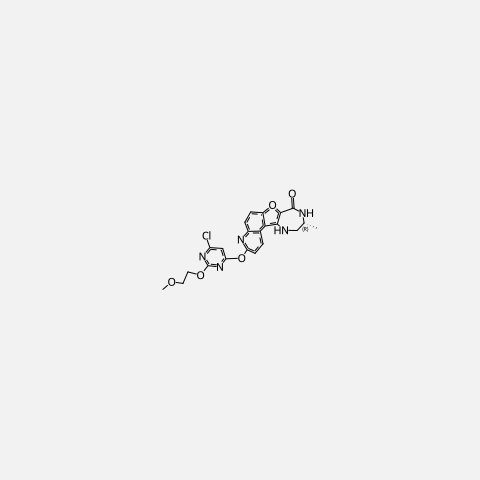 COCCOc1nc(Cl)cc(Oc2ccc3c(ccc4oc5c(c43)NC[C@@H](C)NC5=O)n2)n1